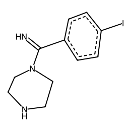 N=C(c1ccc(I)cc1)N1CCNCC1